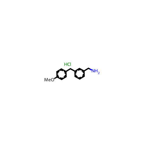 COc1ccc(Cc2cccc(CN)c2)cc1.Cl